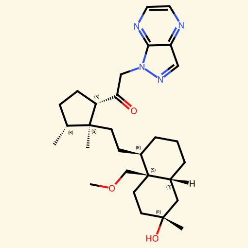 COC[C@]12CC[C@@](C)(O)C[C@H]1CCC[C@@H]2CC[C@@]1(C)[C@H](C)CC[C@@H]1C(=O)Cn1ncc2nccnc21